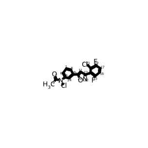 CC(=O)N(Cl)c1cccc(-c2cc(-c3c(F)ccc(F)c3Cl)no2)c1